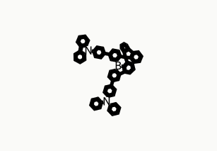 c1ccc(N(c2ccccc2)c2ccc(-c3ccc4c(c3)-c3cccc5c3B4c3cc(-c4ccc(-n6c7ccccc7c7ccccc76)cc4)ccc3C53c4ccccc4-c4ccccc43)cc2)cc1